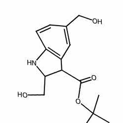 CC(C)(C)OC(=O)C1c2cc(CO)ccc2NC1CO